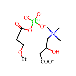 CCOCCC(=O)O[Cl+3]([O-])([O-])[O-].C[N+](C)(C)CC(O)CC(=O)[O-]